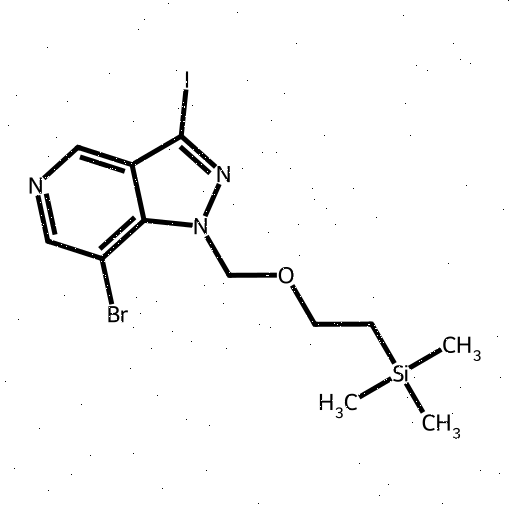 C[Si](C)(C)CCOCn1nc(I)c2cncc(Br)c21